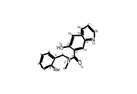 CN(Cc1ccccc1Br)C(=O)c1cc2ncccc2cc1O